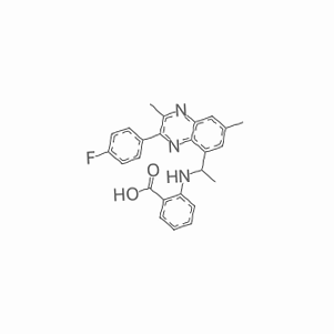 Cc1cc(C(C)Nc2ccccc2C(=O)O)c2nc(-c3ccc(F)cc3)c(C)nc2c1